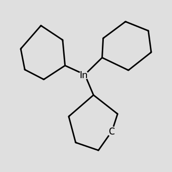 C1CC[CH]([In]([CH]2CCCCC2)[CH]2CCCCC2)CC1